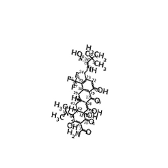 CN(C)[C@@H]1C(O)=C(C(N)=O)C(=O)[C@@]2(O)C(O)=C3C(=O)c4c(O)cc(CN[C@H](CO)C(C)(C)C)c(C(F)(F)F)c4C[C@H]3C[C@@H]12